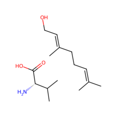 CC(C)=CCC/C(C)=C/CO.CC(C)[C@H](N)C(=O)O